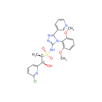 COc1cccc(OC)c1-n1c(NS(=O)(=O)[C@H](C)[C@@H](O)c2cccc(Cl)n2)nnc1-c1cccnc1